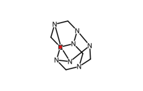 C1N2CN3N4CN5CN(N14)N(C2)N3C5